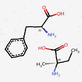 CC[C@@](C)(N)C(=O)O.N[C@@H](Cc1ccccc1)C(=O)O